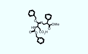 COC(=O)C(CN=C(OCc1ccccc1)C(CC(=O)O)NC(=O)OCc1ccccc1)c1ccccc1